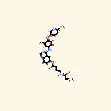 C=CC(=O)NCCCC(=O)Nc1ccc2ncnc(Nc3ccc(Oc4ccc(C)nc4)c(C)c3)c2c1